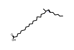 CCCCC/C=C/C(C)CCCCCCCCCCCCCCCC(=O)O